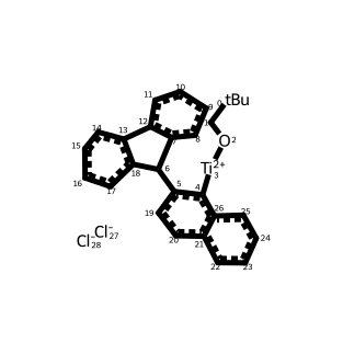 CC(C)(C)C[O][Ti+2][c]1c(C2c3ccccc3-c3ccccc32)ccc2ccccc12.[Cl-].[Cl-]